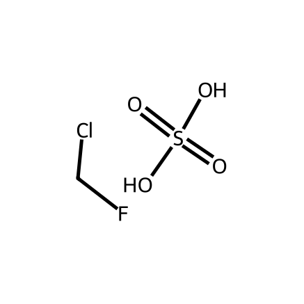 FCCl.O=S(=O)(O)O